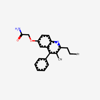 CC(C)CCc1nc2ccc(OCC(N)=O)cc2c(-c2ccccc2)c1C#N